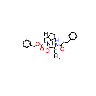 CC(NC(=O)CCc1ccccc1)C(=O)N1[C@H](C(=O)OCc2ccccc2)C[C@@H]2CCC[C@@H]21